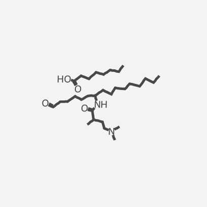 CCCCCCCC(=O)O.CCCCCCCCCC(CCCCCC=O)NC(=O)C(C)CCN(C)C